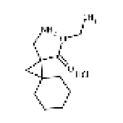 CCOC(=O)C1(CN)CC12CCCCC2.Cl